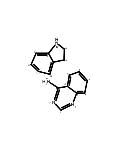 Nc1ncnc2ccccc12.c1ccc2c(c1)CCN2